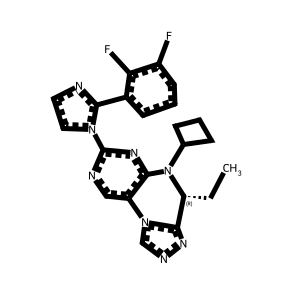 CC[C@@H]1c2nncn2-c2cnc(-n3ccnc3-c3cccc(F)c3F)nc2N1C1CCC1